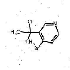 CC(C)(C)c1[c]nccc1Br